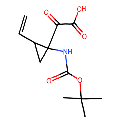 C=CC1CC1(NC(=O)OC(C)(C)C)C(=O)C(=O)O